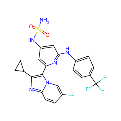 NS(=O)(=O)Nc1cc(Nc2ccc(C(F)(F)F)cc2)nc(-c2c(C3CC3)nc3ccc(F)cn23)c1